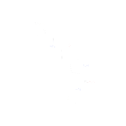 O=C(CC1CNC(C(=O)N2CCSC2)C1)NCc1cccs1